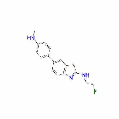 CNc1ccc(-c2ccc3nc(NCCF)sc3c2)cc1